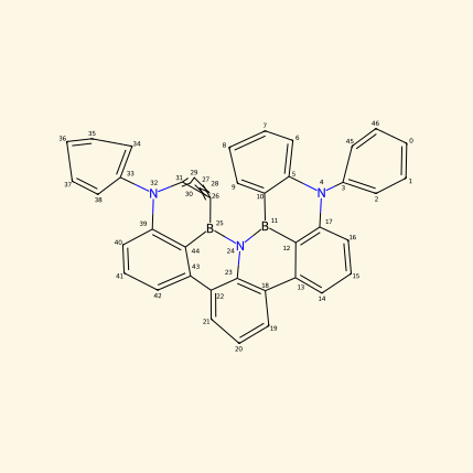 c1ccc(N2c3ccccc3B3c4c(cccc42)-c2cccc4c2N3B2c3ccccc3N(c3ccccc3)c3cccc-4c32)cc1